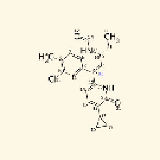 CC[C@H](/C=C(\c1ccc(C)c(Cl)c1)c1ccc(C2CC2)c(=O)[nH]1)NC=O